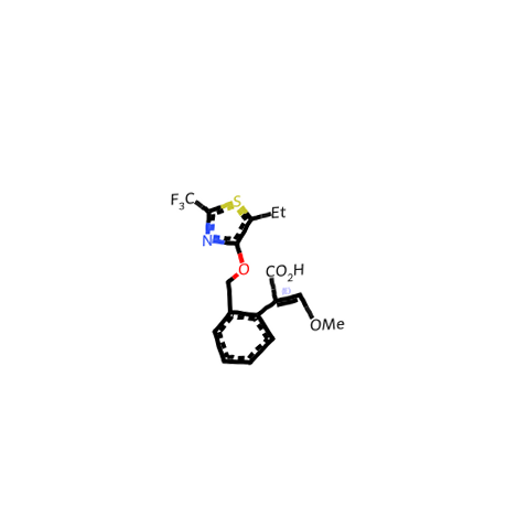 CCc1sc(C(F)(F)F)nc1OCc1ccccc1/C(=C\OC)C(=O)O